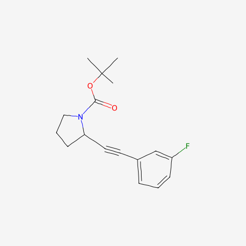 CC(C)(C)OC(=O)N1CCCC1C#Cc1cccc(F)c1